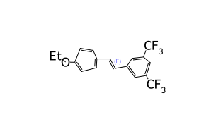 CCOc1ccc(/C=C/c2cc(C(F)(F)F)cc(C(F)(F)F)c2)cc1